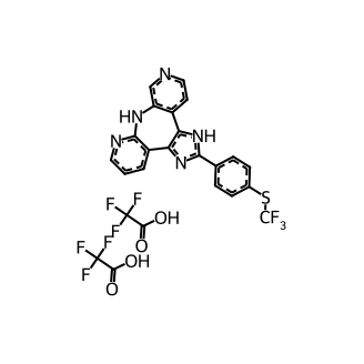 FC(F)(F)Sc1ccc(-c2nc3c([nH]2)-c2ccncc2Nc2ncccc2-3)cc1.O=C(O)C(F)(F)F.O=C(O)C(F)(F)F